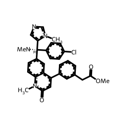 CN[C@](c1ccc(Cl)cc1)(c1ccc2c(c1)c(-c1cccc(CC(=O)OC)c1)cc(=O)n2C)c1cncn1C